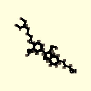 CCN(CC)CCCOc1ccc(-c2oc3ccc(CCCO)cc3c2SC)cc1OC